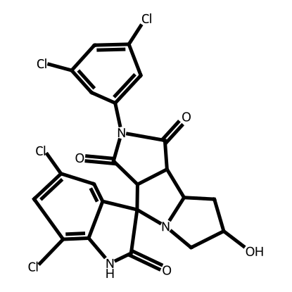 O=C1C2C3CC(O)CN3C3(C(=O)Nc4c(Cl)cc(Cl)cc43)C2C(=O)N1c1cc(Cl)cc(Cl)c1